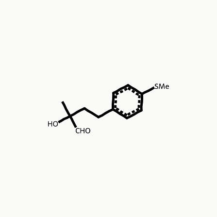 CSc1ccc(CCC(C)(O)C=O)cc1